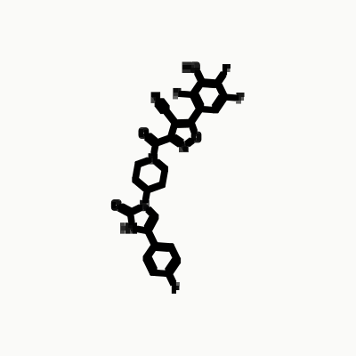 N#Cc1c(C(=O)N2CCC(n3cc(-c4ccc(F)cc4)[nH]c3=O)CC2)noc1-c1cc(F)c(F)c(O)c1F